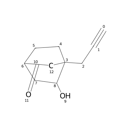 C#CCC12CCC(CC1O)C(=O)C2